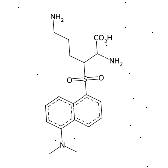 CN(C)c1cccc2c(S(=O)(=O)C(CCCN)C(N)C(=O)O)cccc12